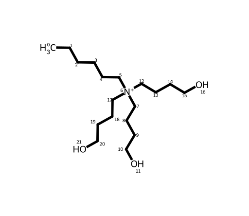 CCCCCC[N+](CCCCO)(CCCCO)CCCCO